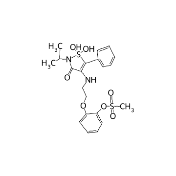 CC(C)N1C(=O)C(NCCOc2ccccc2OS(C)(=O)=O)=C(c2ccccc2)S1(O)O